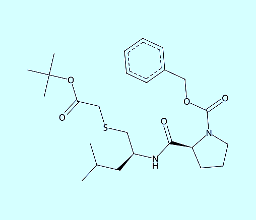 CC(C)C[C@@H](CSCC(=O)OC(C)(C)C)NC(=O)[C@@H]1CCCN1C(=O)OCc1ccccc1